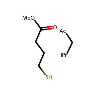 CC(=O)CC(C)C.COC(=O)CCCS